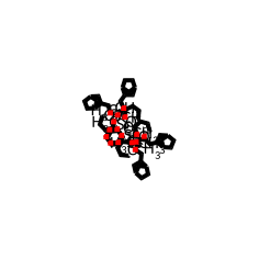 C[Si](C)(CCC1=C2CCC(C2)C1)C1([Si](O[Si](C2CCCCC2)(C2([Si](C)(C)CCC3=C4CCC(C4)C3)CCCCO2)C2([Si](C)(C)CCC3=C4CCC(C4)C3)CCCCO2)(C2CCCCC2)C2([Si](C)(C)CCC3=C4CCC(C4)C3)CCCCO2)CCCCO1